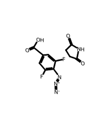 O=C1CCC(=O)N1.[N-]=[N+]=Nc1c(F)cc(C(=O)O)cc1F